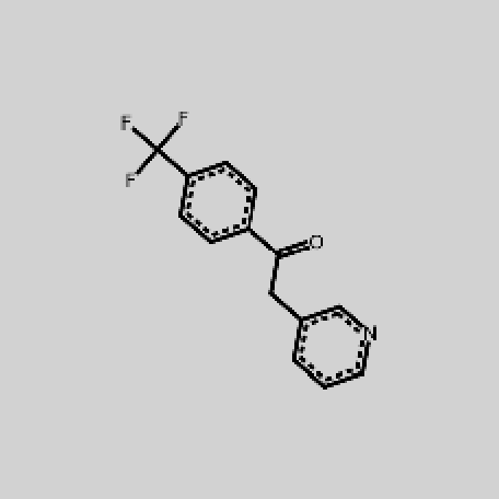 O=C(Cc1cccnc1)c1ccc(C(F)(F)F)cc1